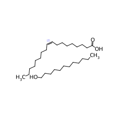 CCCCCCCC/C=C\CCCCCCCC(=O)O.CCCCCCCCCCCCO